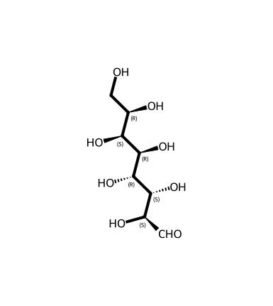 O=C[C@@H](O)[C@@H](O)[C@H](O)[C@H](O)[C@@H](O)[C@H](O)CO